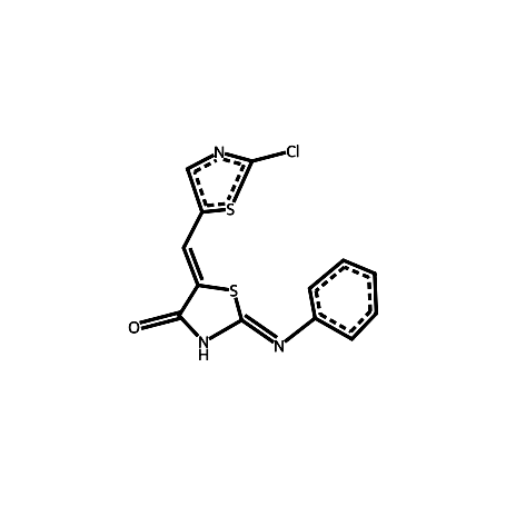 O=C1NC(=Nc2ccccc2)SC1=Cc1cnc(Cl)s1